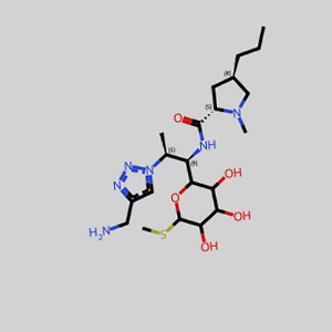 CCC[C@@H]1C[C@@H](C(=O)N[C@@H](C2OC(SC)C(O)C(O)C2O)[C@H](C)n2cc(CN)nn2)N(C)C1